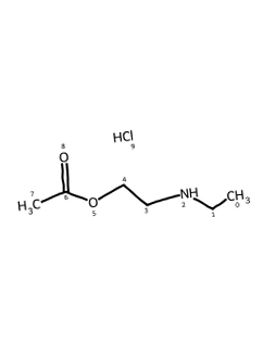 CCNCCOC(C)=O.Cl